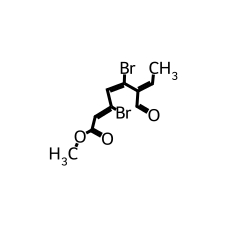 C\C=C(C=O)/C(Br)=C\C(Br)=C\C(=O)OC